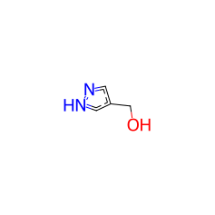 OCc1cn[nH]c1